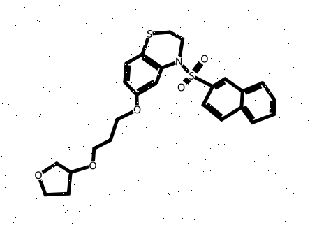 O=S(=O)(c1ccc2ccccc2c1)N1CCSc2ccc(OCCCOC3CCOC3)cc21